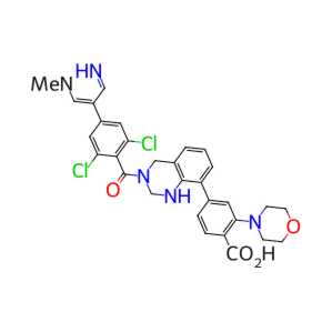 CN/C=C(\C=N)c1cc(Cl)c(C(=O)N2CNc3c(cccc3-c3ccc(C(=O)O)c(N4CCOCC4)c3)C2)c(Cl)c1